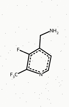 NCc1ccnc(C(F)(F)F)c1F